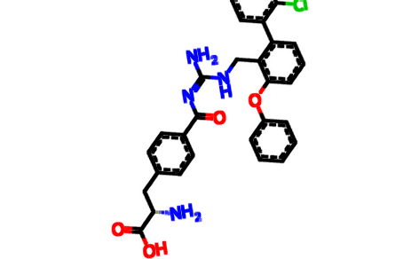 NC(=NC(=O)c1ccc(C[C@H](N)C(=O)O)cc1)NCc1c(Oc2ccccc2)cccc1-c1ccccc1Cl